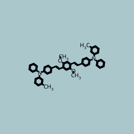 COc1cc(C=Cc2ccc(N(c3ccccc3)c3cccc(C)c3)cc2)c(OC)cc1C=Cc1ccc(N(c2ccccc2)c2cccc(C)c2)cc1